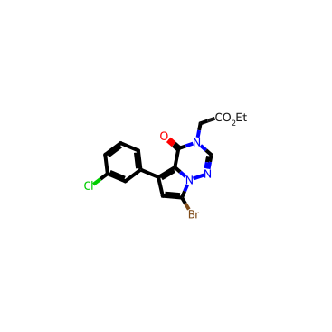 CCOC(=O)Cn1cnn2c(Br)cc(-c3cccc(Cl)c3)c2c1=O